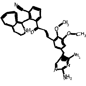 COc1cc(-c2cnc(N)nc2N)cc(C=CC(=O)c2cccc(C#N)c2C2NCCc3ccccc32)c1OC